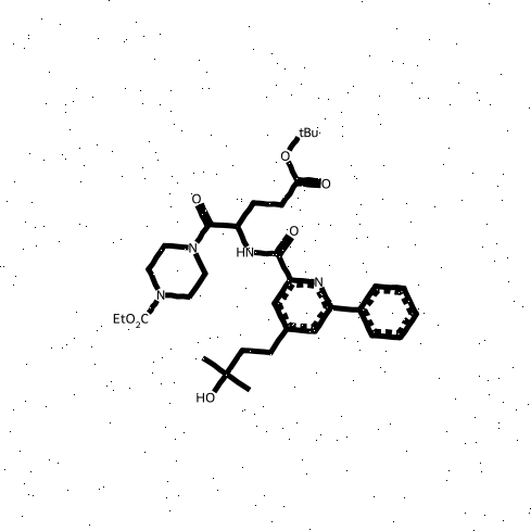 CCOC(=O)N1CCN(C(=O)C(CCC(=O)OC(C)(C)C)NC(=O)c2cc(CCC(C)(C)O)cc(-c3ccccc3)n2)CC1